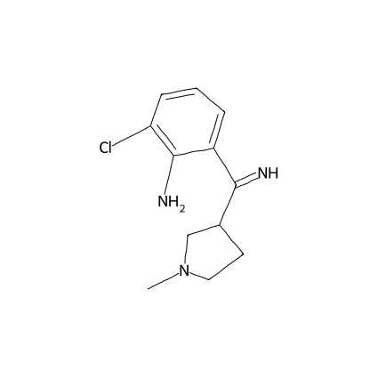 CN1CCC(C(=N)c2cccc(Cl)c2N)C1